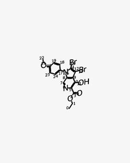 CCOC(=O)c1ncc2c(c1O)c(Br)c(Br)n2-c1ccc(OC)cc1